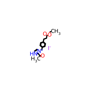 CCOC(=O)CCc1ccc(C[n+]2cc[nH]c2C(C)=O)cc1.[I-]